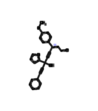 COc1ccc(/C(C#CC(O)(C#Cc2ccccc2)c2ccco2)=C/C=O)cc1